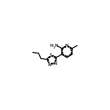 CCCc1nnc(-c2ccc(C)nc2N)s1